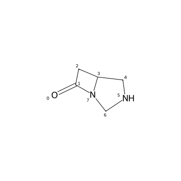 O=C1CC2CNCN12